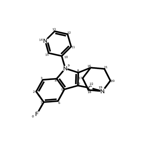 Fc1ccc2c(c1)c1c(n2-c2cccnc2)C2CCN(CC2)C1